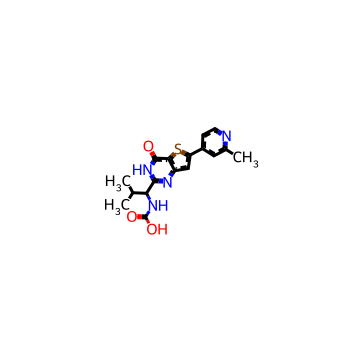 Cc1cc(-c2cc3nc(C(NC(=O)O)C(C)C)[nH]c(=O)c3s2)ccn1